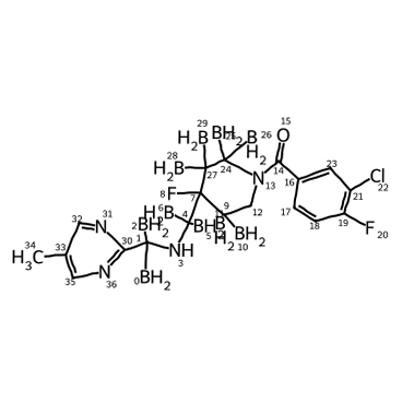 BC(B)(NC(B)(B)C1(F)C(B)(B)CN(C(=O)c2ccc(F)c(Cl)c2)C(B)(B)C1(B)B)c1ncc(C)cn1